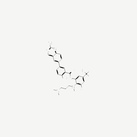 CN(C)CCCN(C)c1c(Cl)cc(C(F)(F)F)cc1NC(=O)c1cc(-c2ccc3nc(N)ncc3c2)ccc1F